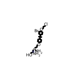 CC(C)(c1ccc(OCCCN(N)/C=C(\N)CO)cc1)c1ccc(OCCCCl)c(Br)c1